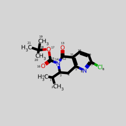 CC(C)C1Cc2nc(Cl)ccc2C(=O)N1C(=O)OC(C)(C)C